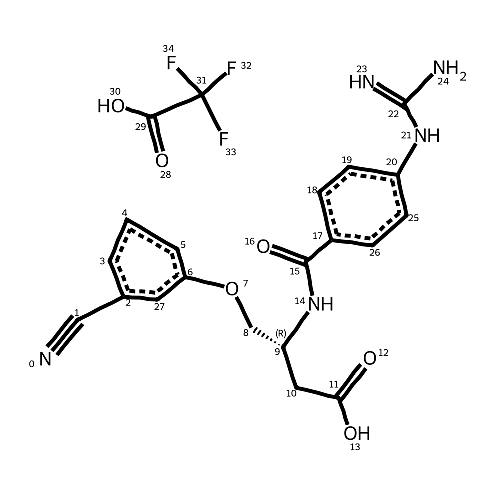 N#Cc1cccc(OC[C@@H](CC(=O)O)NC(=O)c2ccc(NC(=N)N)cc2)c1.O=C(O)C(F)(F)F